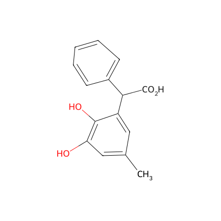 Cc1cc(O)c(O)c(C(C(=O)O)c2ccccc2)c1